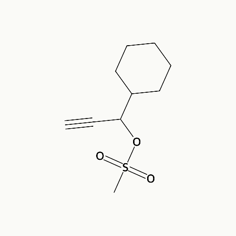 C#CC(OS(C)(=O)=O)C1CCCCC1